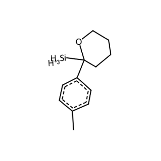 Cc1ccc(C2([SiH3])CCCCO2)cc1.[H+]